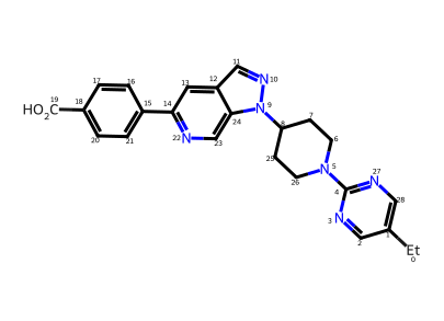 CCc1cnc(N2CCC(n3ncc4cc(-c5ccc(C(=O)O)cc5)ncc43)CC2)nc1